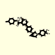 CC1CCC(NC(=O)c2cc(-c3ccc([C@]45CC4CN(C4CCC(F)(F)CC4)C5)cc3)cnc2N)CC1